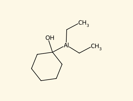 C[CH2][Al]([CH2]C)[C]1(O)CCCCC1